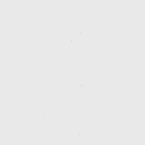 c1ccc(-c2cc(-n3c4ccccc4c4cc5c(cc43)c3ccccc3n5-c3ccccc3)cc3ccccc23)cc1